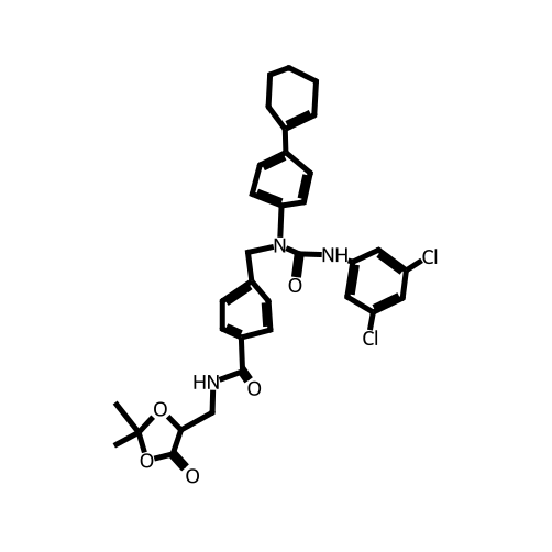 CC1(C)OC(=O)C(CNC(=O)c2ccc(CN(C(=O)Nc3cc(Cl)cc(Cl)c3)c3ccc(C4=CCCCC4)cc3)cc2)O1